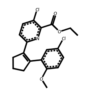 CCOC(=O)c1nc(C2=C(c3cc(Cl)ccc3OC)CCC2)ccc1Cl